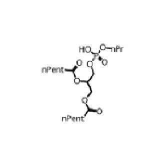 CCCCCC(=O)OCC(COP(=O)(O)OCCC)OC(=O)CCCCC